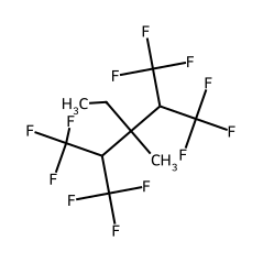 CCC(C)(C(C(F)(F)F)C(F)(F)F)C(C(F)(F)F)C(F)(F)F